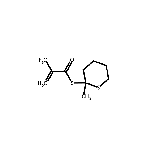 C=C(C(=O)SC1(C)CCCCS1)C(F)(F)F